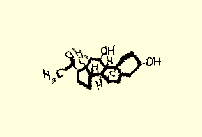 CC(=O)[C@H]1CC[C@H]2[C@@H]3CCC4=C[C@@H](O)CC[C@]4(C)[C@H]3[C@@H](O)C[C@]12C